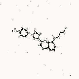 COCCOc1cccc2ccc(-c3cn(-c4ccc(O)cc4)nn3)nc12